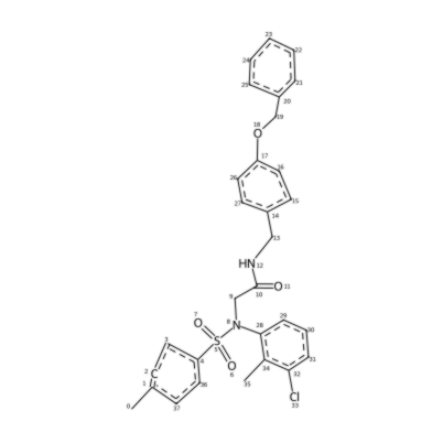 Cc1ccc(S(=O)(=O)N(CC(=O)NCc2ccc(OCc3ccccc3)cc2)c2cccc(Cl)c2C)cc1